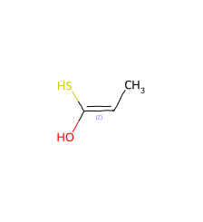 C/C=C(/O)S